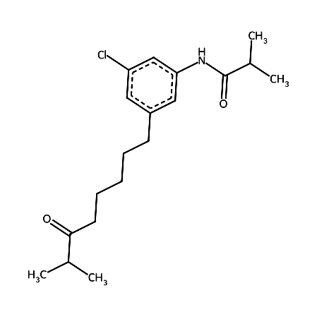 CC(C)C(=O)CCCCCc1cc(Cl)cc(NC(=O)C(C)C)c1